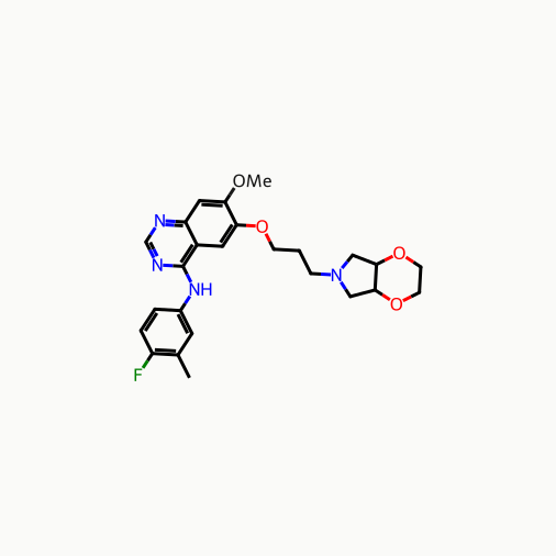 COc1cc2ncnc(Nc3ccc(F)c(C)c3)c2cc1OCCCN1CC2OCCOC2C1